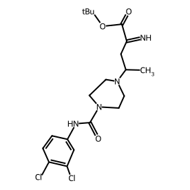 CC(CC(=N)C(=O)OC(C)(C)C)N1CCN(C(=O)Nc2ccc(Cl)c(Cl)c2)CC1